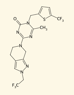 Cc1nc(N2CCc3cn(CC(F)(F)F)nc3C2)nc(=O)n1Cc1ccc(C(F)(F)F)s1